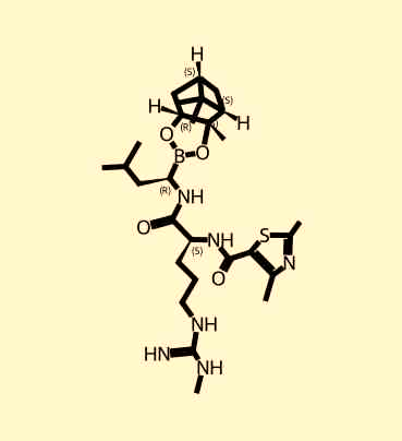 CNC(=N)NCCC[C@H](NC(=O)c1sc(C)nc1C)C(=O)N[C@@H](CC(C)C)B1O[C@@H]2C[C@@H]3C[C@@H](C3(C)C)[C@]2(C)O1